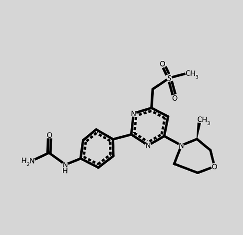 C[C@H]1COCCN1c1cc(CS(C)(=O)=O)nc(-c2ccc(NC(N)=O)cc2)n1